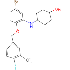 OC1CCC(Nc2cc(Br)ccc2OCc2ccc(F)c(C(F)(F)F)c2)CC1